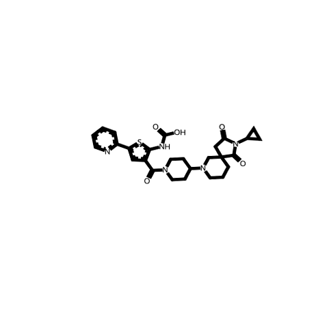 O=C(O)Nc1sc(-c2ccccn2)cc1C(=O)N1CCC(N2CCCC3(CC(=O)N(C4CC4)C3=O)C2)CC1